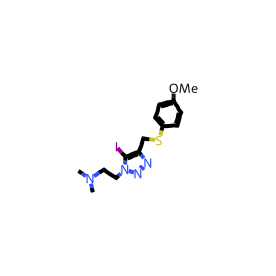 COc1ccc(SCc2nnn(CCN(C)C)c2I)cc1